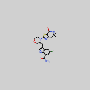 CC1(C)Cc2nc(N3CCOC[C@@H]3Cc3c[nH]c4c(C(N)=O)cc(Cl)cc34)sc2C(=O)N1